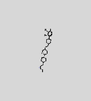 CC/C=C\CC1CCC(C2CCC(CCC3CC=C(c4ccc(C)c(F)c4F)CC3)CO2)CC1